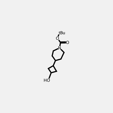 CC(C)(C)OC(=O)N1CCC(C2CC(O)C2)CC1